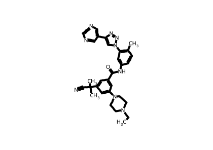 CCN1CCN(c2cc(C(=O)Nc3ccc(C)c(-n4cc(-c5cncnc5)nn4)c3)cc(C(C)(C)C#N)c2)CC1